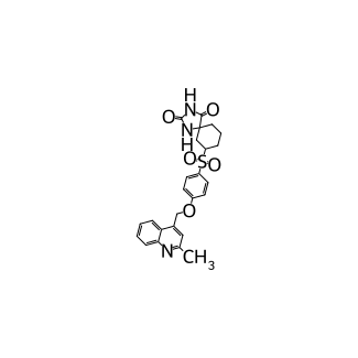 Cc1cc(COc2ccc(S(=O)(=O)C3CCCC4(C3)NC(=O)NC4=O)cc2)c2ccccc2n1